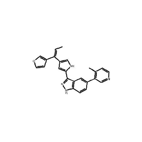 C/C=C(/c1ccoc1)c1c[nH]c(-c2n[nH]c3ccc(-c4cnccc4C)cc23)c1